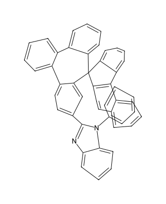 c1ccc(-n2c(-c3ccc4c(c3)C3(c5ccccc5-c5ccccc5-4)c4ccccc4-c4c3ccc3ccccc43)nc3ccccc32)cc1